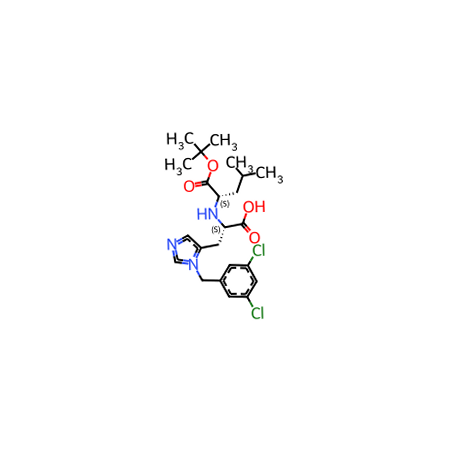 CC(C)C[C@H](N[C@@H](Cc1cncn1Cc1cc(Cl)cc(Cl)c1)C(=O)O)C(=O)OC(C)(C)C